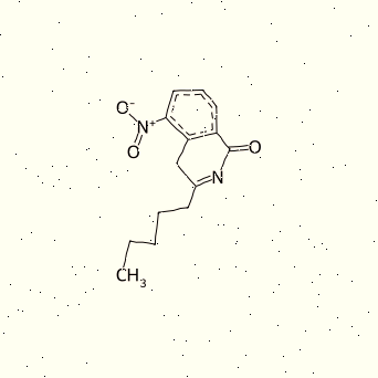 CCCCCC1=NC(=O)c2cccc([N+](=O)[O-])c2C1